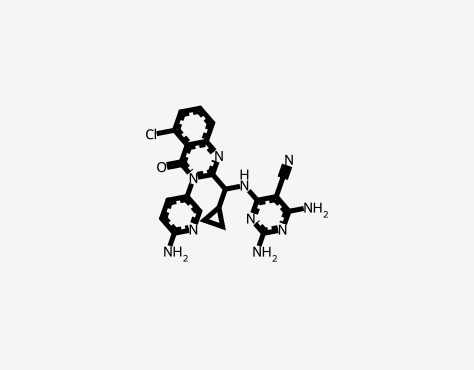 N#Cc1c(N)nc(N)nc1NC(c1nc2cccc(Cl)c2c(=O)n1-c1ccc(N)nc1)C1CC1